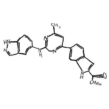 COC(=O)c1cc2ccc(-c3cc(C)nc(Nc4ccc5[nH]ncc5c4)n3)cc2[nH]1